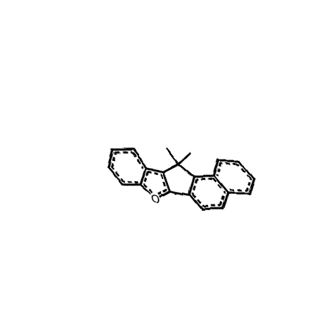 CC1(C)c2c(ccc3ccccc23)-c2oc3ccccc3c21